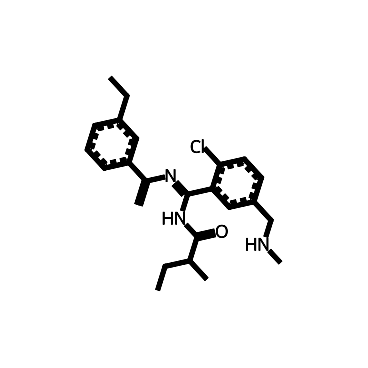 C=C(/N=C(\NC(=O)C(C)CC)c1cc(CNC)ccc1Cl)c1cccc(CC)c1